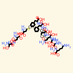 CC[C@H](C)[C@H](N)C(=O)O.CSCC[C@H](N)C(=O)O.NC(=O)CC[C@H](N)C(=O)O.NC(=O)C[C@H](N)C(=O)O.NCC(=O)O.NCC(=O)O.NCCCC[C@H](N)C(=O)O.N[C@@H](CO)C(=O)O.N[C@@H](Cc1ccccc1)C(=O)O.N[C@@H](Cc1ccccc1)C(=O)O